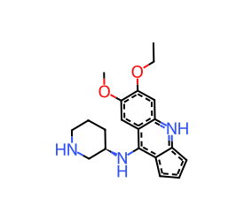 CCOc1cc2[nH]c3cccc-3c(N[C@@H]3CCCNC3)c2cc1OC